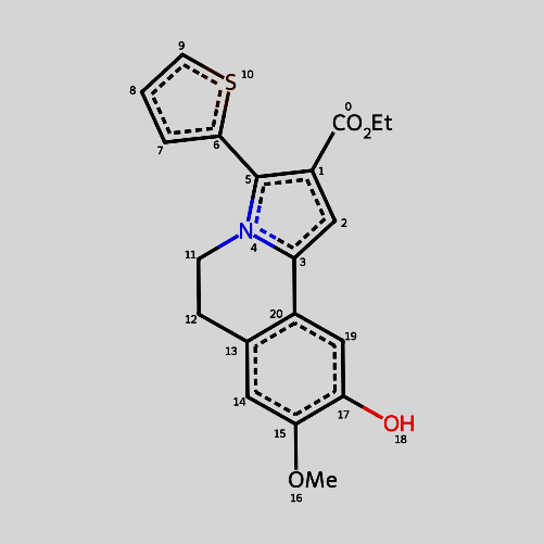 CCOC(=O)c1cc2n(c1-c1cccs1)CCc1cc(OC)c(O)cc1-2